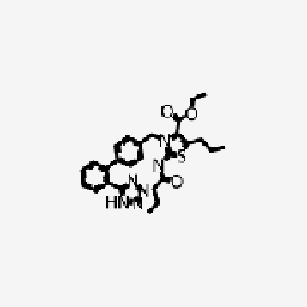 CCCC(=O)N=c1sc(CCC)c(C(=O)OCC)n1Cc1ccc(-c2ccccc2-c2nnn[nH]2)cc1